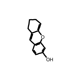 Oc1ccc2c(c1)OC1=CCCCC1=C2